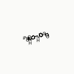 CC(C)S(=O)(=O)Nc1ccc(CNc2ccc(OC3CCOC3)cc2)cc1